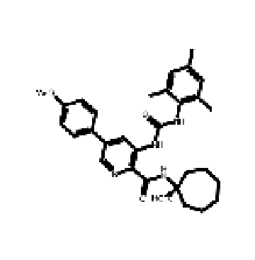 COc1ccc(-c2cnc(C(=O)NC3(C(=O)O)CCCCCC3)c(NC(=O)Nc3c(C)cc(C)cc3C)c2)cc1